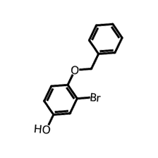 Oc1ccc(OCc2ccccc2)c(Br)c1